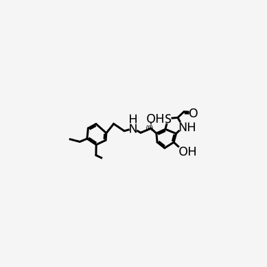 CCc1ccc(CCNC[C@H](O)c2ccc(O)c3c2SC(C=O)N3)cc1CC